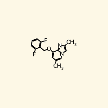 Cc1cc(OCc2c(F)cccc2F)c2nc(C)[c]n2c1